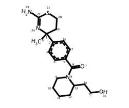 CC1(c2ccc(C(=O)N3CCCCC3CCO)cc2)CCSC(N)=N1